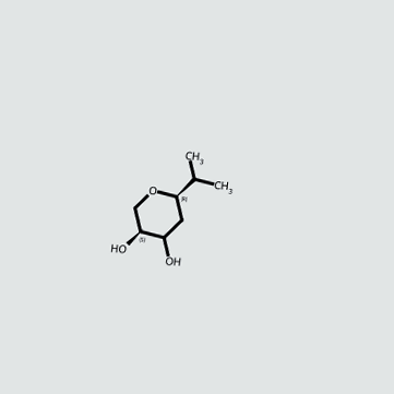 CC(C)[C@H]1CC(O)[C@@H](O)CO1